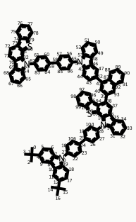 CC(C)(C)c1ccc2c(c1)c1cc(C(C)(C)C)ccc1n2-c1ccc(-c2ccc(-n3c4ccccc4c4cc(-c5cc(-c6ccc7c(c6)c6ccccc6n7-c6ccc(-c7ccc(-n8c9ccccc9c9ccc%10c%11ccccc%11sc%10c98)cc7)cc6)c6ccccc6c5)c5c6ccccc6sc5c43)cc2)cc1